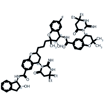 CCC1(CC)CC(=O)N([C@@H]2CC(CCCC3(C)Oc4ccc(F)cc4[C@@H](NC(=O)c4ccc5c(c4)[C@H](N4C(=N)NC(CC)(CC)CC4=O)CC(C)(C)O5)[C@@H]3O)Oc3ccc(C(=O)N[C@@H]4c5ccccc5C[C@H]4O)cc32)C(=N)N1